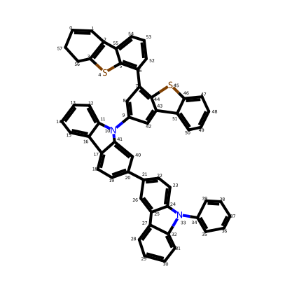 C1=Cc2c(sc3c(-c4cc(-n5c6ccccc6c6ccc(-c7ccc8c(c7)c7ccccc7n8-c7ccccc7)cc65)cc5c4sc4ccccc45)cccc23)CC1